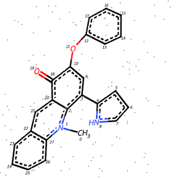 Cn1c2c(-c3ccc[nH]3)cc(Oc3ccccc3)c(=O)c-2cc2ccccc21